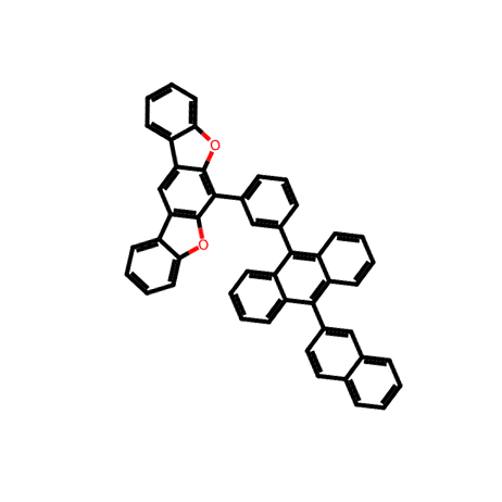 c1cc(-c2c3ccccc3c(-c3ccc4ccccc4c3)c3ccccc23)cc(-c2c3oc4ccccc4c3cc3c2oc2ccccc23)c1